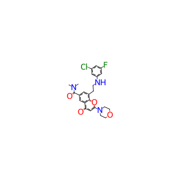 CN(C)C(=O)c1cc(CCNc2cc(F)cc(Cl)c2)c2oc(N3CCOCC3)cc(=O)c2c1